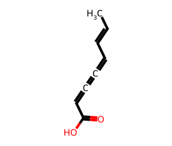 CC=CC=C=C=CC(=O)O